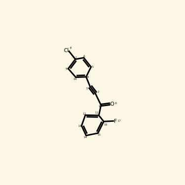 O=C(C#Cc1ccc(Cl)cc1)c1ccccc1F